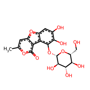 Cc1cc2oc3cc(O)c(O)c(O[C@@H]4O[C@H](CO)[C@@H](O)[C@H](O)[C@H]4O)c3c2c(=O)o1